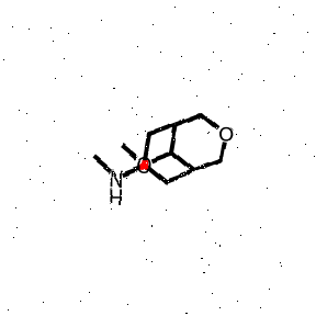 CNC1CC2COCC(C1)C2OC